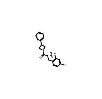 N[C@H](Cc1ccc(Cl)cc1Cl)C(=O)N1CC(c2ccccn2)C1